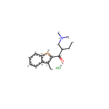 CCC(CN(C)C)C(=O)c1sc2ccccc2c1C.Cl